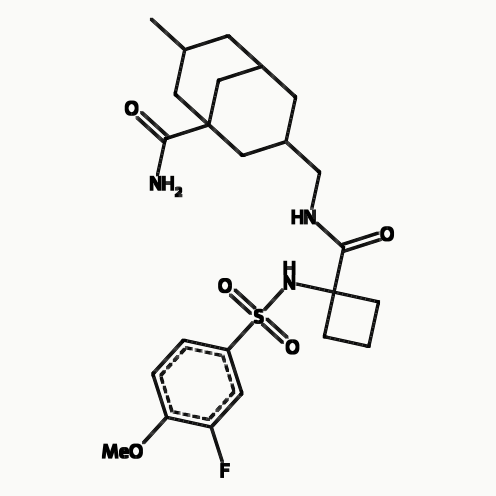 COc1ccc(S(=O)(=O)NC2(C(=O)NCC3CC4CC(C)CC(C(N)=O)(C3)C4)CCC2)cc1F